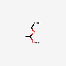 CCOC(C)OCC=O